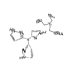 CC(C)(C)[CH2][Ti]([CH2]C(C)(C)C)[CH2]C(C)(C)C.c1cc(B(c2cc[nH]n2)c2cc[nH]n2)n[nH]1